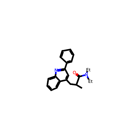 CCN(CC)C(=O)C(C)Cc1cc(-c2ccccc2)nc2ccccc12